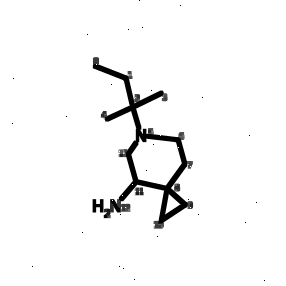 CCC(C)(C)N1CCC2(CC2)C(N)C1